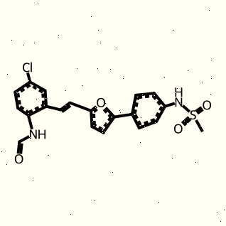 CS(=O)(=O)Nc1ccc(-c2ccc(/C=C/c3cc(Cl)ccc3NC=O)o2)cc1